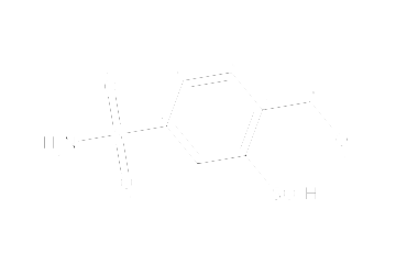 NS(=O)(=O)c1ccc(C[O])c(S(=O)(=O)O)c1